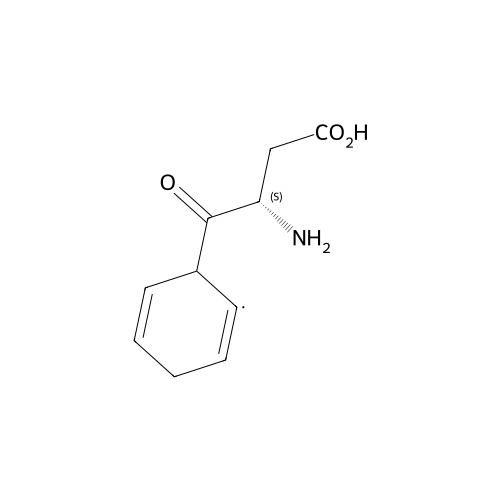 N[C@@H](CC(=O)O)C(=O)C1[C]=CCC=C1